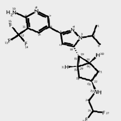 CC(C)n1nc(-c2cnc(N)c(C(F)(F)F)c2)cc1[C@@H]1[C@@H]2C[C@@H](NCC(F)F)C[C@@H]21